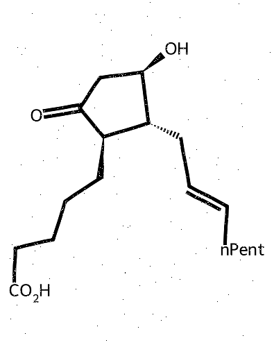 CCCCCC=CC[C@H]1[C@H](O)CC(=O)[C@@H]1CCCCC(=O)O